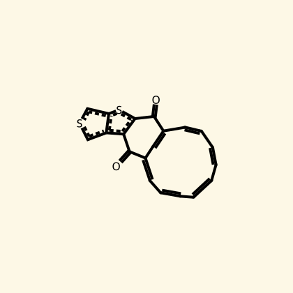 O=C1C2=CC(=C/C=C\C=C/C=C\C=C/2)\C(=O)c2c1sc1cscc21